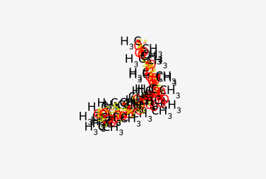 CCOC(=O)CC(SP(=S)(OC)OC)C(=O)OCC.CCOP(=S)(OCC)OP(=S)(OCC)OCC.CCOP(=S)(OCC)SCC[S+]([O-])CC.CCOP(=S)(OCC)SCSC(C)(C)C.CCOP(=S)(OCC)SCSCC.CCSCCSP(=S)(OC)OC.CC[S+]([O-])CC(C)SP(=O)(OC)OC.CC[S+]([O-])CCSP(=O)(OC)OC.COC(=O)/C(C)=C/OP(=S)(OC)OC.COP(=S)(OC)SCCSC(C)C